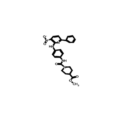 COC(=O)C1CCN(C(=O)Nc2ccc(Nc3nc(-c4ccccc4)ccc3[N+](=O)[O-])cc2)CC1